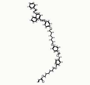 C=CC(=O)OCCCCCCOc1ccc(COOc2ccc(OCCCCCCOc3ccc(N=Nc4ccc(N=Nc5ccccc5)c5ccccc45)cc3)cc2)cc1